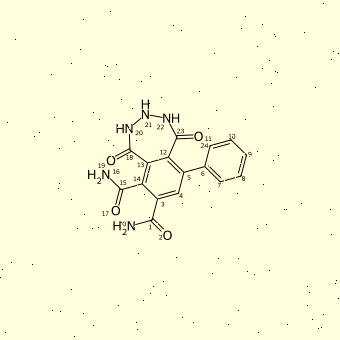 NC(=O)c1cc(-c2ccccc2)c2c(c1C(N)=O)C(=O)NNNC2=O